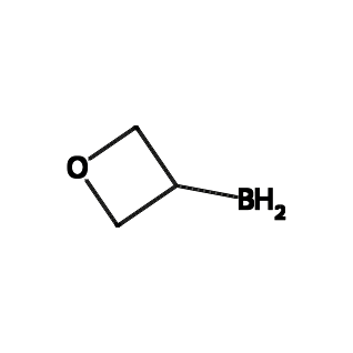 BC1COC1